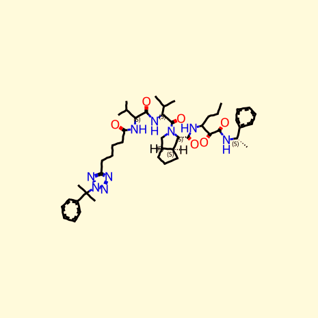 CCCC(NC(=O)[C@@H]1[C@H]2CCC[C@H]2CN1C(=O)[C@@H](NC(=O)[C@@H](NC(=O)CCCCc1nnn(C(C)(C)c2ccccc2)n1)C(C)C)C(C)C)C(=O)C(=O)N[C@@H](C)c1ccccc1